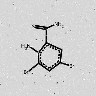 NC(=S)c1cc(Br)cc(Br)c1N